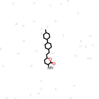 CCCC1CCC(CCC2CCC(C3CCC(C)CC3)CC2)OC1=O